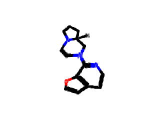 c1cc2ccoc2c(N2CCN3CCC[C@@H]3C2)n1